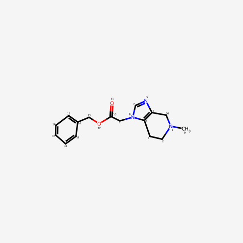 CN1CCc2c(ncn2CC(=O)OCc2ccccc2)C1